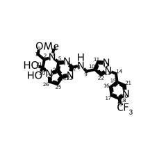 COCC1N(C)c2nc(NCc3cnn(Cc4ccc(C(F)(F)F)nc4)c3)nc3ccn(c23)C1(O)O